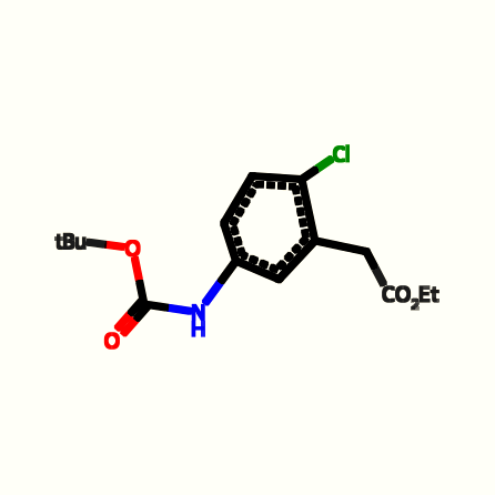 CCOC(=O)Cc1cc(NC(=O)OC(C)(C)C)ccc1Cl